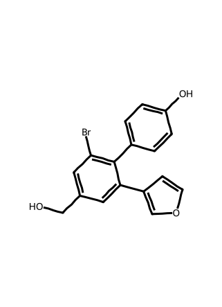 OCc1cc(Br)c(-c2ccc(O)cc2)c(-c2ccoc2)c1